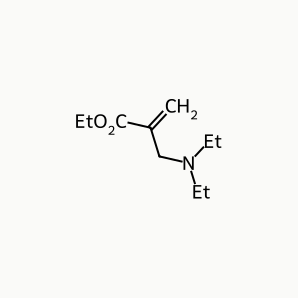 C=C(CN(CC)CC)C(=O)OCC